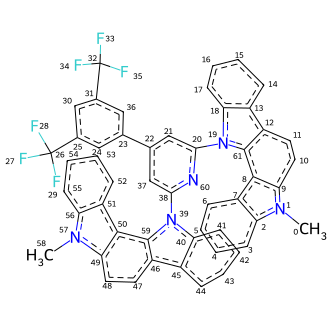 Cn1c2ccccc2c2c1ccc1c3ccccc3n(-c3cc(-c4cc(C(F)(F)F)cc(C(F)(F)F)c4)cc(-n4c5ccccc5c5ccc6c(c7ccccc7n6C)c54)n3)c12